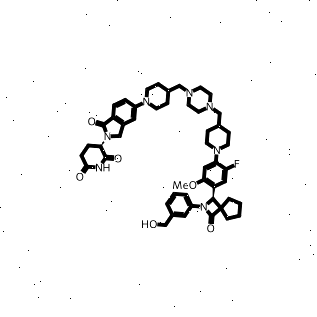 COc1cc(N2CCC(CN3CCN(CC4CCN(c5ccc6c(c5)CN([C@H]5CCC(=O)NC5=O)C6=O)CC4)CC3)CC2)c(F)cc1[C@@H]1N(c2cccc(CO)c2)C(=O)C12CCCC2